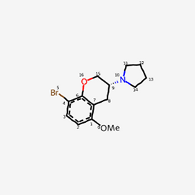 COc1ccc(Br)c2c1C[C@@H](N1CCCC1)CO2